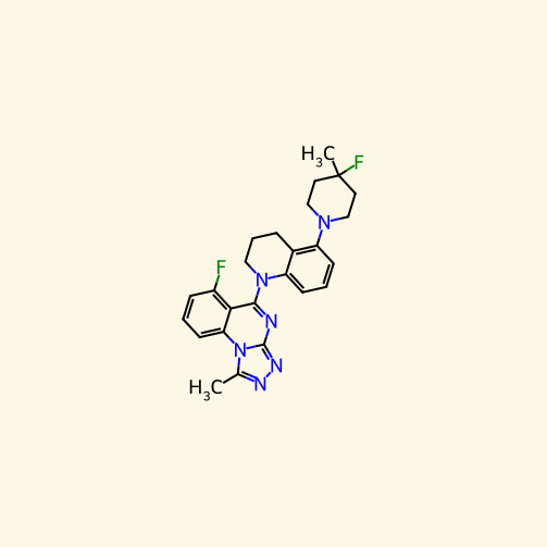 Cc1nnc2nc(N3CCCc4c(N5CCC(C)(F)CC5)cccc43)c3c(F)cccc3n12